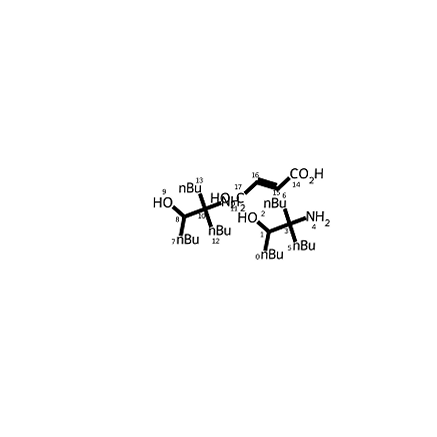 CCCCC(O)C(N)(CCCC)CCCC.CCCCC(O)C(N)(CCCC)CCCC.O=C(O)/C=C/C(=O)O